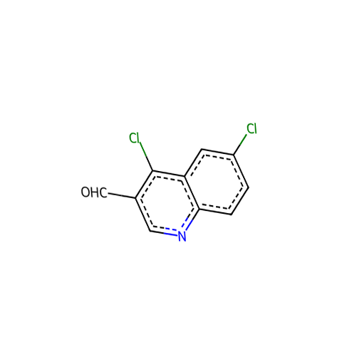 O=Cc1cnc2ccc(Cl)cc2c1Cl